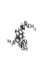 CCC(=O)c1ccn(-c2cc(F)c(-c3nc4cc(C)ccn4c3CC3CN(C(=O)O)CCO3)c(F)c2)n1